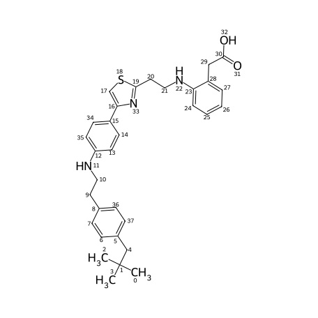 CC(C)(C)Cc1ccc(CCNc2ccc(-c3csc(CCNc4ccccc4CC(=O)O)n3)cc2)cc1